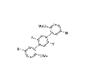 COc1ccc(Br)cc1-c1cc(F)c(-c2cc(Br)ccc2OC)cc1F